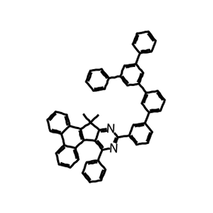 CC1(C)c2nc(-c3cccc(-c4cccc(-c5cc(-c6ccccc6)cc(-c6ccccc6)c5)c4)c3)nc(-c3ccccc3)c2-c2c1c1ccccc1c1ccccc21